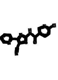 N#Cc1sc(NC(=O)c2ccc(Cl)nc2)nc1-c1ccccn1